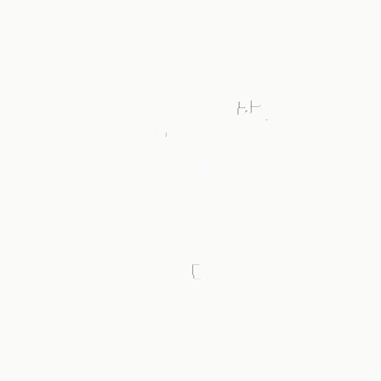 B/C(CC)=C(\C)C(CC)=C(C)C